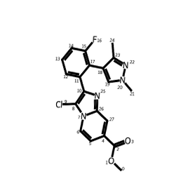 COC(=O)c1ccn2c(Cl)c(-c3cccc(F)c3-c3cn(C)nc3C)nc2c1